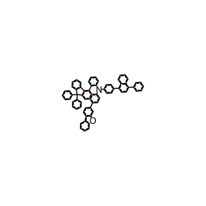 c1ccc(-c2ccc(-c3ccc(N(c4ccc(-c5ccc6c(c5)oc5ccccc56)cc4)c4ccccc4-c4cccc5c4-c4ccccc4C5(c4ccccc4)c4ccccc4)cc3)c3ccccc23)cc1